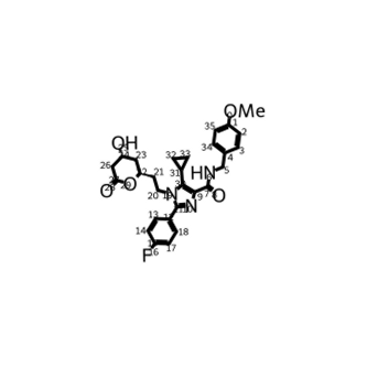 COc1ccc(CNC(=O)c2nc(-c3ccc(F)cc3)n(CC[C@@H]3C[C@@H](O)CC(=O)O3)c2C2CC2)cc1